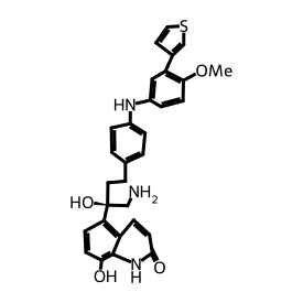 COc1ccc(Nc2ccc(CC[C@](O)(CN)c3ccc(O)c4[nH]c(=O)ccc34)cc2)cc1-c1ccsc1